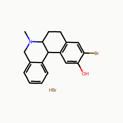 Br.CN1Cc2ccccc2C2c3cc(O)c(Br)cc3CCC21